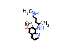 CNCCCC(C)Nc1cc(OC)cc2cccnc12